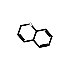 C1=CC2C=CCOC2C=C1